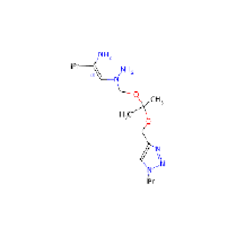 CC(C)/C(N)=C/N(N)COC(C)(C)OCc1cn(C(C)C)nn1